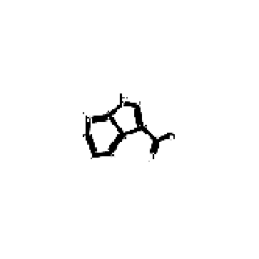 CC(C)C(=O)c1c[nH]c2ncccc12